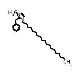 CCCCCCCCCCCCCCCCCCCn1cc[n+](C)c1Cc1ccccc1